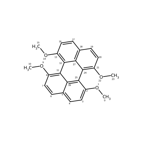 COc1ccc2ccc(OC)c3c4c(OC)ccc5ccc(OC)c(c1c23)c54